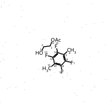 CC(=O)OCCO.Cc1c(F)c(F)c(C)c(F)c1F